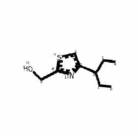 CCC(CC)c1csc(CO)n1